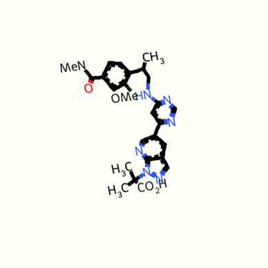 CNC(=O)c1ccc(C(C)CNc2cc(-c3cnc4c(cnn4C(C)(C)C(=O)O)c3)ncn2)c(OC)c1